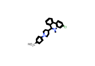 CN(C)C(c1ccccc1-c1ccc(Cl)cc1)C1CCN(c2ccc(C(=O)O)cc2)CC1